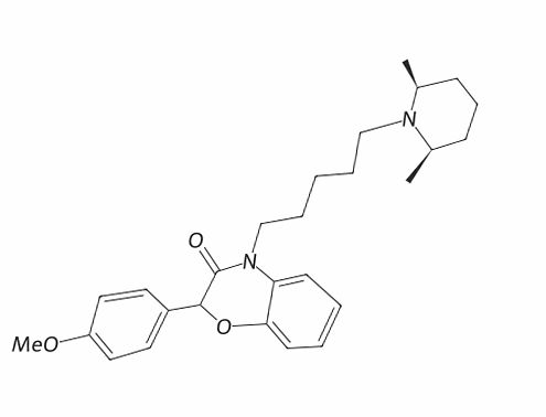 COc1ccc(C2Oc3ccccc3N(CCCCCN3[C@H](C)CCC[C@@H]3C)C2=O)cc1